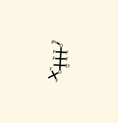 CCC(C)(OC(C)(F)F)C(F)(F)C(F)(F)OC(C)C